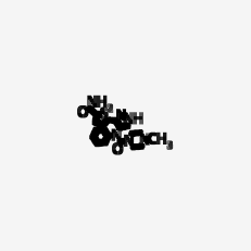 CN1CCN(C(=O)N(c2ccccc2)c2c[nH]nc2-c2ccc(C(N)=O)s2)CC1